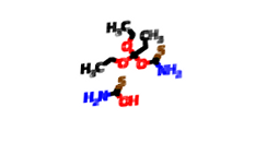 CCOC(CC)(OCC)OC(N)=S.NC(O)=S